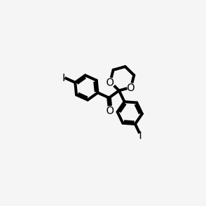 O=C(c1ccc(I)cc1)C1(c2ccc(I)cc2)OCCCO1